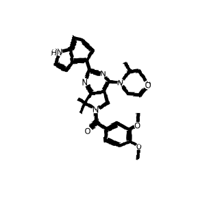 COc1ccc(C(=O)N2Cc3c(N4CCOCC4C)nc(-c4cccc5[nH]ccc45)nc3C2(C)C)cc1OC